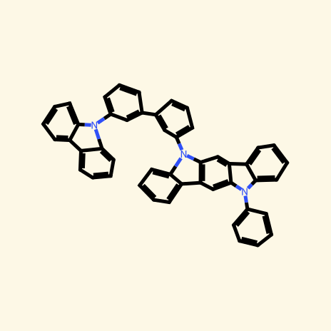 c1ccc(-n2c3ccccc3c3cc4c(cc32)c2ccccc2n4-c2cccc(-c3cccc(-n4c5ccccc5c5ccccc54)c3)c2)cc1